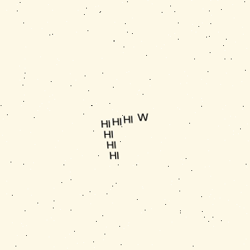 I.I.I.I.I.I.[W]